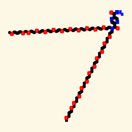 COCCCOCOCCOCCOCCOCCOCCOCCOCCOCCOCCOCCN(CCOCCOCCOCCOCCOCCOCCOCCOCCOCCOCOCCCOC)C(=O)c1cnc(C(N)=O)cn1